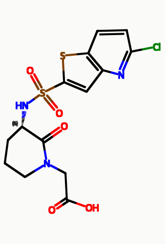 O=C(O)CN1CCC[C@H](NS(=O)(=O)c2cc3nc(Cl)ccc3s2)C1=O